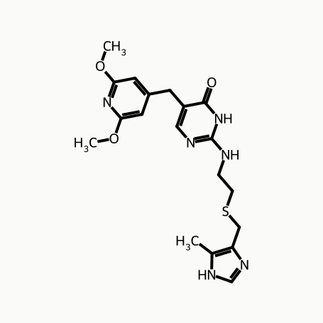 COc1cc(Cc2cnc(NCCSCc3nc[nH]c3C)[nH]c2=O)cc(OC)n1